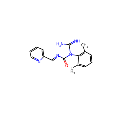 Cc1cccc(C)c1N(C(=N)N)C(=O)N=Cc1ccccn1